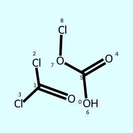 O=C(Cl)Cl.O=C(O)OCl